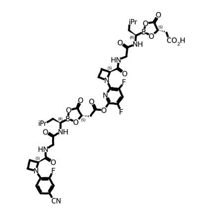 CC(C)C[C@H](NC(=O)CNC(=O)[C@@H]1CCN1c1nc(OC(=O)C[C@@H]2OB([C@H](CC(C)C)NC(=O)CNC(=O)[C@@H]3CCN3c3ccc(C#N)cc3F)OC2=O)c(F)cc1F)B1OC(=O)[C@H](CC(=O)O)O1